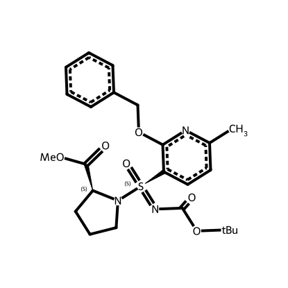 COC(=O)[C@@H]1CCCN1[S@](=O)(=NC(=O)OC(C)(C)C)c1ccc(C)nc1OCc1ccccc1